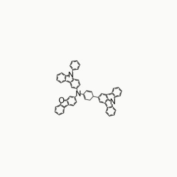 C1=CC(c2cc3c4ccccc4n4c5ccccc5c(c2)c34)CC=C1N(c1ccc2c(c1)oc1ccccc12)c1ccc2c(c1)c1ccccc1n2-c1ccccc1